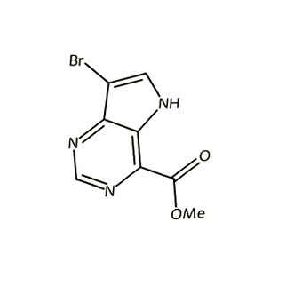 COC(=O)c1ncnc2c(Br)c[nH]c12